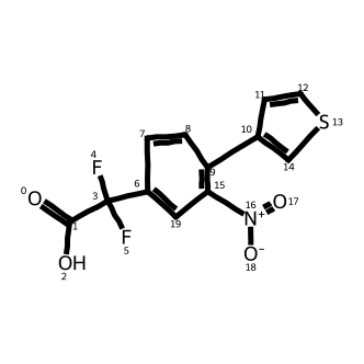 O=C(O)C(F)(F)c1ccc(-c2ccsc2)c([N+](=O)[O-])c1